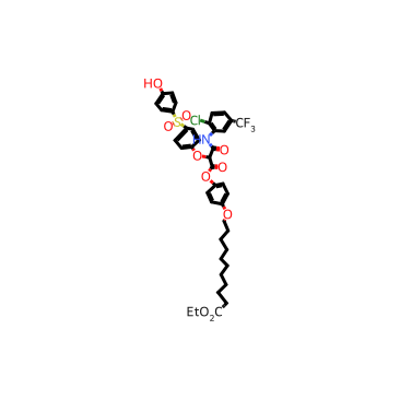 CCOC(=O)CCCCCCCCCCOc1ccc(OC(=O)C(Oc2ccc(S(=O)(=O)c3ccc(O)cc3)cc2)C(=O)Nc2cc(C(F)(F)F)ccc2Cl)cc1